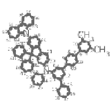 Cc1cc(C)cc(-c2ccc(-c3cc(-c4ccccc4)cc(N(c4ccccc4)c4ccc5c(c4)C(c4ccccc4)(c4ccccc4)c4cc(-n6c7ccccc7c7ccccc76)ccc4-5)c3)cc2)c1